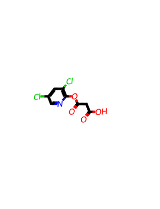 O=C(O)CC(=O)Oc1ncc(Cl)cc1Cl